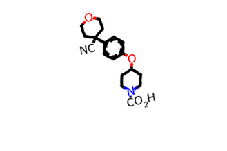 N#CC1(c2ccc(OC3CCN(C(=O)O)CC3)cc2)CCOCC1